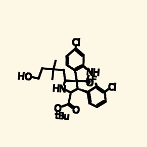 CC(C)(CCO)CC1NC(C(=O)OC(C)(C)C)[C@H](c2cccc(Cl)c2F)[C@]12C(=O)Nc1cc(Cl)ccc12